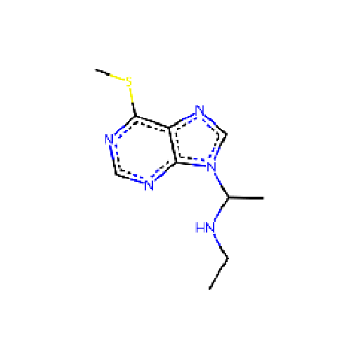 CCNC(C)n1cnc2c(SC)ncnc21